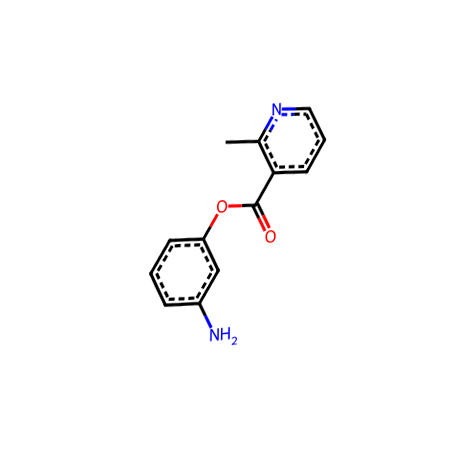 Cc1ncccc1C(=O)Oc1cccc(N)c1